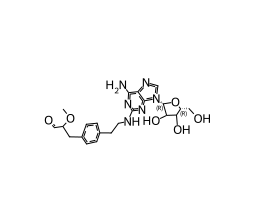 COC(C=O)Cc1ccc(CCNc2nc(N)c3ncn([C@@H]4O[C@H](CO)C(O)C4O)c3n2)cc1